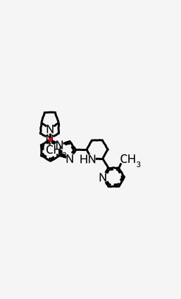 Cc1cccnc1C1CCCC(c2cn3c(N4C5CCC4CN(C)C5)cccc3n2)N1